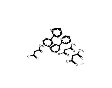 CC(=O)CC(=O)[O-].CC(=O)CC(=O)[O-].CC(=O)CC(=O)[O-].[Ir+3].c1ccc(-c2ccccn2)cc1.c1ccc(-c2ccccn2)cc1